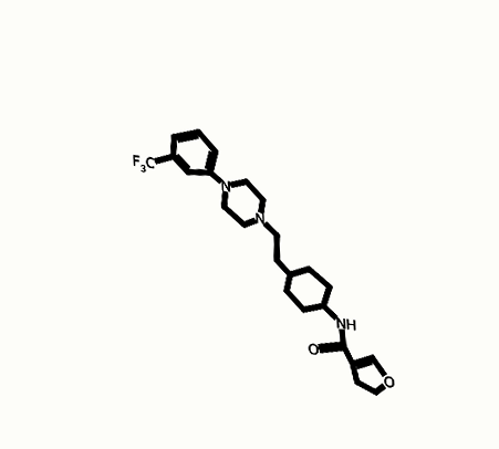 O=C(NC1CCC(CCN2CCN(c3cccc(C(F)(F)F)c3)CC2)CC1)C1=COCC1